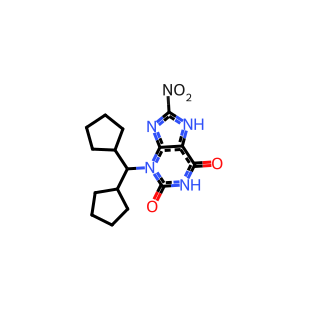 O=c1[nH]c(=O)n(C(C2CCCC2)C2CCCC2)c2nc([N+](=O)[O-])[nH]c12